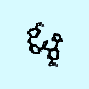 Cc1ccc(-c2ncco2)c(C(=O)N2CC3CC(Oc4ccc(C(F)(F)F)cn4)C2C3)n1